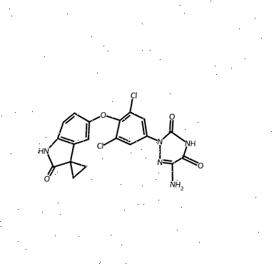 Nc1nn(-c2cc(Cl)c(Oc3ccc4c(c3)C3(CC3)C(=O)N4)c(Cl)c2)c(=O)[nH]c1=O